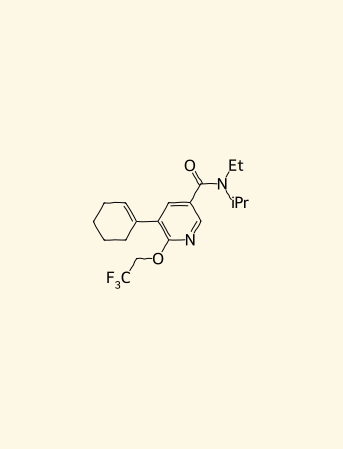 CCN(C(=O)c1cnc(OCC(F)(F)F)c(C2=CCCCC2)c1)C(C)C